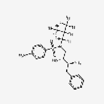 [2H]C([2H])([2H])C([2H])(C([2H])([2H])[2H])C([2H])([2H])N(C[C@@H](O)[C@@H](N)Cc1ccccc1)S(=O)(=O)c1ccc(N)cc1